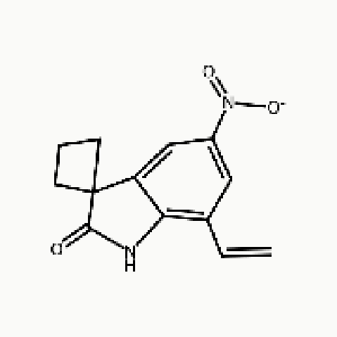 C=Cc1cc([N+](=O)[O-])cc2c1NC(=O)C21CCC1